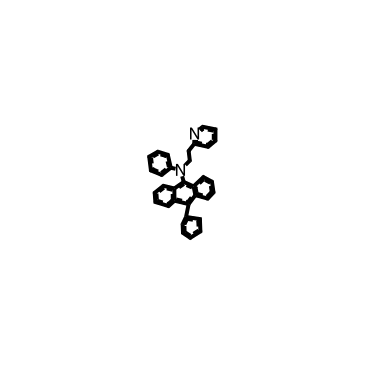 c1ccc(-c2c3ccccc3c(N(CCc3ccccn3)c3ccccc3)c3ccccc23)cc1